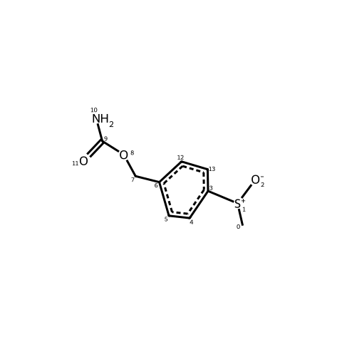 C[S+]([O-])c1ccc(COC(N)=O)cc1